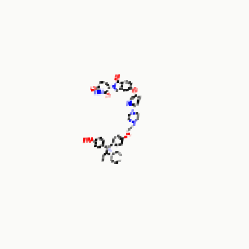 CC/C(=C(\c1ccc(O)cc1)c1ccc(OCCN2CCN(c3ccc(Oc4ccc5c(c4)CN(C4CCC(=O)NC4=O)C5=O)cn3)CC2)cc1)c1ccccc1